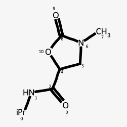 CC(C)NC(=O)C1CN(C)C(=O)O1